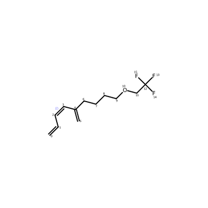 C=C/C=C\C(=C)CCCCOCC(F)(F)F